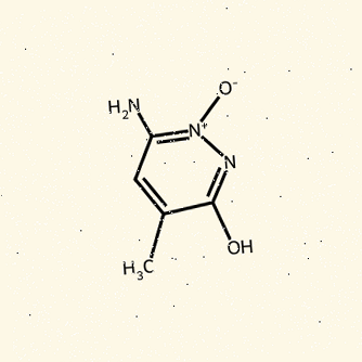 Cc1cc(N)[n+]([O-])nc1O